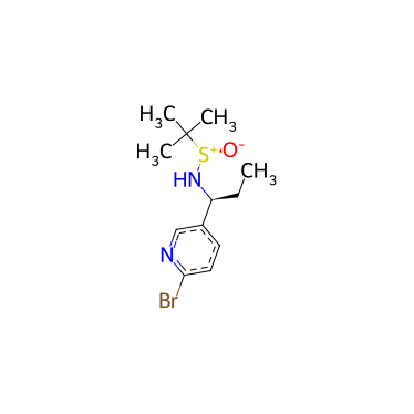 CC[C@H](N[S@+]([O-])C(C)(C)C)c1ccc(Br)nc1